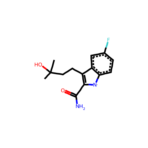 CC(C)(O)CCC1=C(C(N)=O)[N]c2ccc(F)cc21